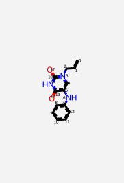 C=CCn1cc(Nc2ccccc2)c(=O)[nH]c1=O